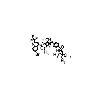 Cc1nn(Cc2ccc(C(=O)NCC(C)(C)C)cc2)c(C)c1NC(=O)c1cc(C(F)(F)F)nc2ccc(Br)cc12